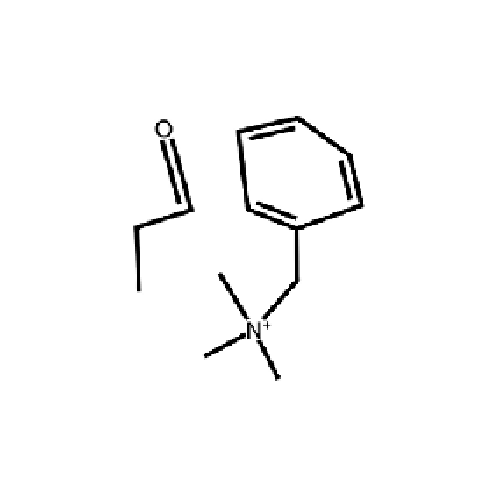 CCC=O.C[N+](C)(C)Cc1ccccc1